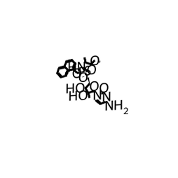 COC(=O)C(C)NP(=S)(OC[C@H]1O[C@@H](n2ccc(N)nc2=O)C(C)(O)C1O)Oc1cccc2ccccc12